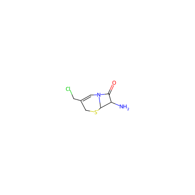 NC1C(=O)N2C=C(CCl)CSC12